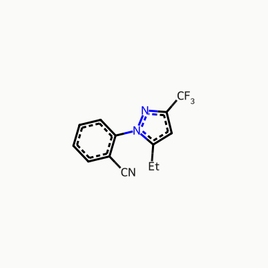 CCc1cc(C(F)(F)F)nn1-c1ccccc1C#N